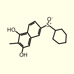 Cc1c(O)cc2cc([S+]([O-])C3CCCCC3)ccc2c1O